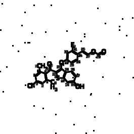 Cc1cc(Cl)cc(C)c1C(=O)c1sc2cc(O)ccc2c1Oc1ccc(/C=C/OC=O)c(F)c1